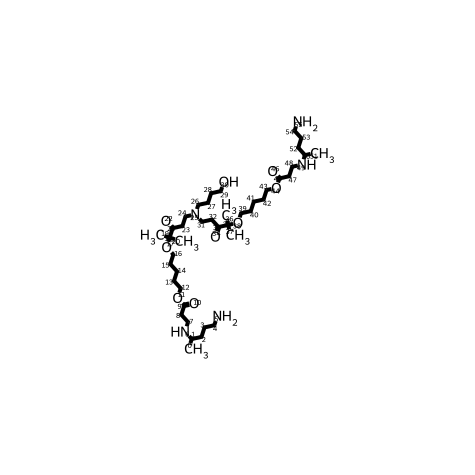 CC(CCCN)NCCC(=O)OCCCCCOC(C)(C)C(=O)CCN(CCCCO)CCC(=O)C(C)(C)OCCCCCOC(=O)CCNC(C)CCCN